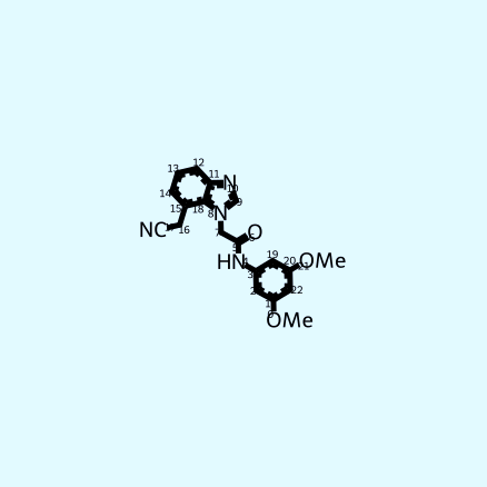 COc1cc(NC(=O)Cn2cnc3cccc(CC#N)c32)cc(OC)c1